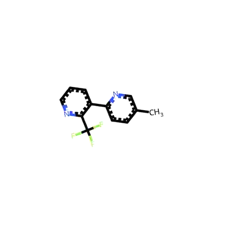 Cc1ccc(-c2cccnc2C(F)(F)F)nc1